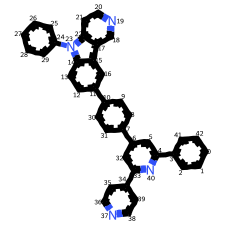 c1ccc(-c2cc(-c3ccc(-c4ccc5c(c4)c4cnccc4n5-c4ccccc4)cc3)cc(-c3ccncc3)n2)cc1